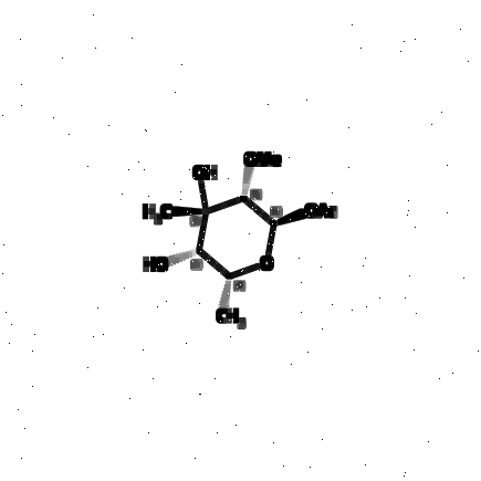 CO[C@@H]1[C@@H](OC(C)=O)O[C@H](C)[C@H](O)[C@]1(C)O